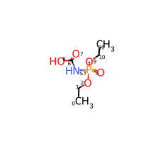 CCOP(=O)(NC(=O)O)OCC